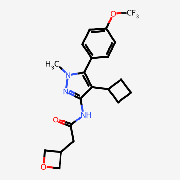 Cn1nc(NC(=O)CC2COC2)c(C2CCC2)c1-c1ccc(OC(F)(F)F)cc1